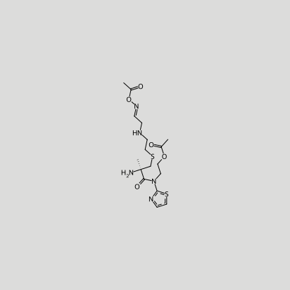 CC(=O)OCCN(C(=O)[C@@](C)(N)CSCCNCC=NOC(C)=O)c1nccs1